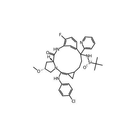 CO[C@@H]1C[C@@H]2C(=O)Nc3cc(ccc3F)C(N[S@@+]([O-])C(C)(C)C)(c3ccccn3)CCC3C/C3=C(\Nc3ccc(Cl)cc3)N2C1